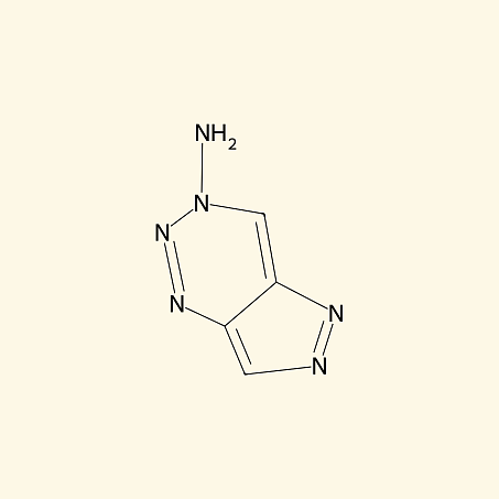 Nn1cc2nncc-2nn1